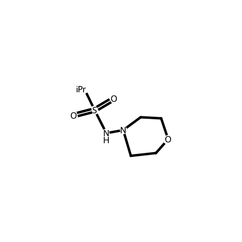 CC(C)S(=O)(=O)NN1CCOCC1